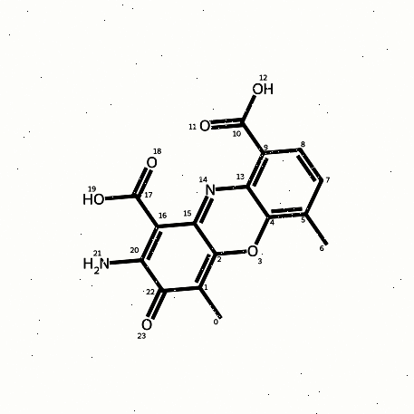 Cc1c2oc3c(C)ccc(C(=O)O)c3nc-2c(C(=O)O)c(N)c1=O